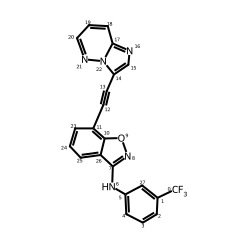 FC(F)(F)c1cccc(Nc2noc3c(C#Cc4cnc5cccnn45)cccc23)c1